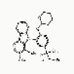 CCCCc1ccc2c3ccccc3n(-c3cc(C(C)(C)CC(C)(C)C)ccc3OC3CCCCO3)c2c1CCCC